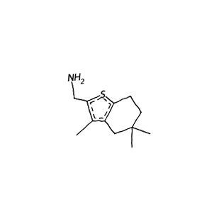 Cc1c(CN)sc2c1CC(C)(C)CC2